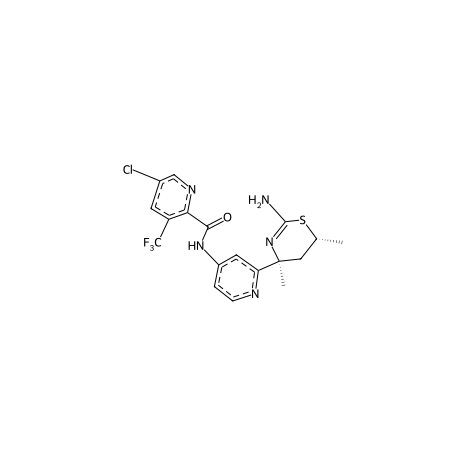 C[C@@H]1C[C@@](C)(c2cc(NC(=O)c3ncc(Cl)cc3C(F)(F)F)ccn2)N=C(N)S1